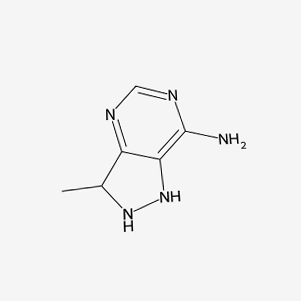 CC1NNc2c(N)ncnc21